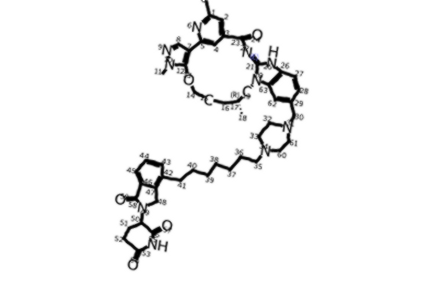 Cc1cc2cc(n1)-c1cnn(C)c1OCCC[C@@H](C)CN1/C(=N/C2=O)Nc2ccc(CN3CCN(CCCCCCCc4cccc5c4CN(C4CCC(=O)NC4=O)C5=O)CC3)cc21